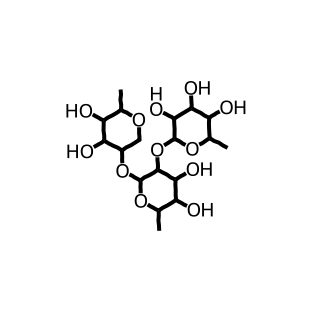 CC1OCC(OC2OC(C)C(O)C(O)C2OC2OC(C)C(O)C(O)C2O)C(O)C1O